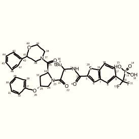 CC(C)(C)C(NC(=O)c1cc2cc(C(F)(F)P(=O)(O)O)ccc2s1)C(=O)N1C[C@H](Oc2ccccc2)C[C@H]1C(=O)N1CCOC(c2ccccc2)C1